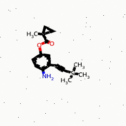 CC1(C(=O)Oc2ccc(N)c(C#C[Si](C)(C)C)c2)CC1